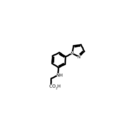 O=C(O)CNc1cccc(-n2cccn2)c1